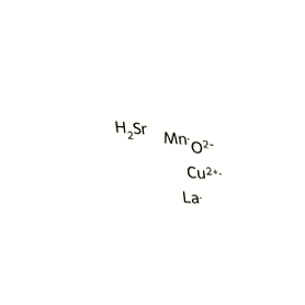 [Cu+2].[La].[Mn].[O-2].[SrH2]